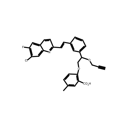 C#CCOC(COc1ccc(C)cc1C(=O)O)c1cccc(/C=C/c2ccc3cc(F)c(Cl)cc3n2)c1